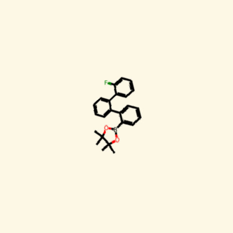 CC1(C)OB(c2ccccc2-c2ccccc2-c2ccccc2F)OC1(C)C